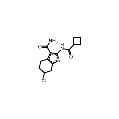 CCC1CCc2c(sc(NC(=O)C3CCC3)c2C(N)=O)C1